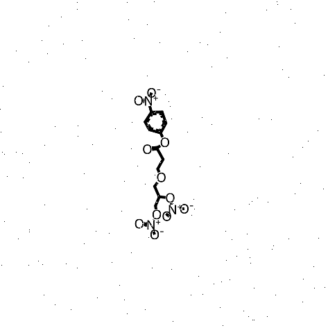 O=C(CCOCC(CO[N+](=O)[O-])O[N+](=O)[O-])Oc1ccc([N+](=O)[O-])cc1